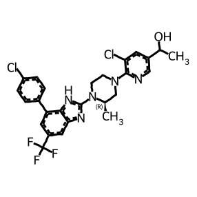 CC(O)c1cnc(N2CCN(c3nc4cc(C(F)(F)F)cc(-c5ccc(Cl)cc5)c4[nH]3)[C@H](C)C2)c(Cl)c1